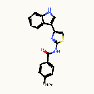 CC(=O)Nc1ccc(C(=O)Nc2nc(-c3c[nH]c4ccccc34)cs2)cc1